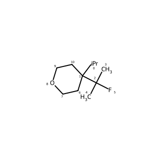 CC(C)C1(C(C)(C)F)CCOCC1